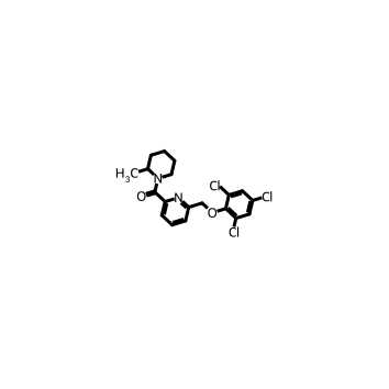 CC1CCCCN1C(=O)c1cccc(COc2c(Cl)cc(Cl)cc2Cl)n1